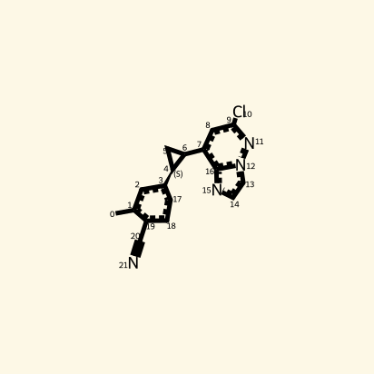 Cc1cc([C@H]2CC2c2cc(Cl)nn3ccnc23)ccc1C#N